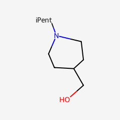 CCCC(C)N1CCC(CO)CC1